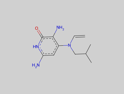 C=CN(CC(C)C)c1cc(N)[nH]c(=O)c1N